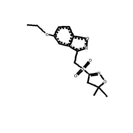 CCOc1ccc2onc(CS(=O)(=O)C3=NOC(C)(C)C3)c2c1